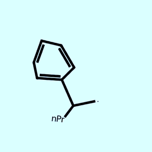 [CH2]C(CCC)c1ccccc1